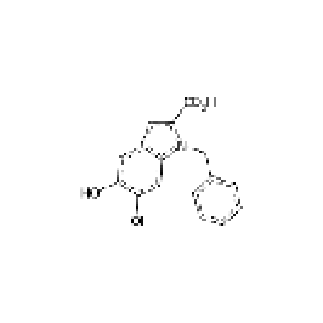 O=C(O)c1cc2cc(O)c(O)cc2n1Cc1ccccc1